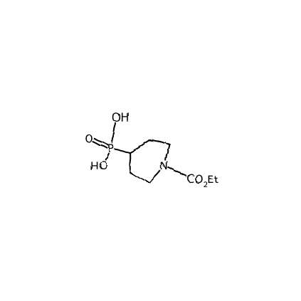 CCOC(=O)N1CCC(P(=O)(O)O)CC1